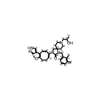 CO/C1=C(c2cn[nH]c2)/C=C\C(N2CC3(CCN(CC(C)O)CC3)N(Cc3cccc(F)c3C)C2=O)=C/CC1